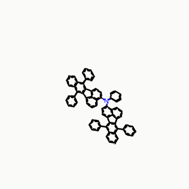 C1=C=C(N(c2ccc3c4c(cccc24)-c2c-3c(-c3ccccc3)c3ccccc3c2-c2ccccc2)c2ccc3c4c(cccc24)-c2c-3c(-c3ccccc3)c3ccccc3c2-c2ccccc2)C=CC=1